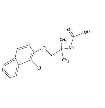 CC(C)(COc1ccc2ccccc2c1Cl)NC(=O)O